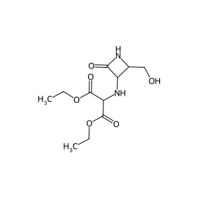 CCOC(=O)C(NC1C(=O)NC1CO)C(=O)OCC